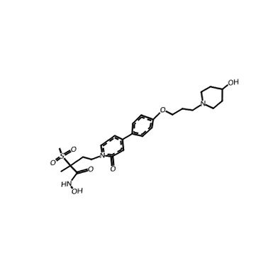 CC(CCn1ccc(-c2ccc(OCCCN3CCC(O)CC3)cc2)cc1=O)(C(=O)NO)S(C)(=O)=O